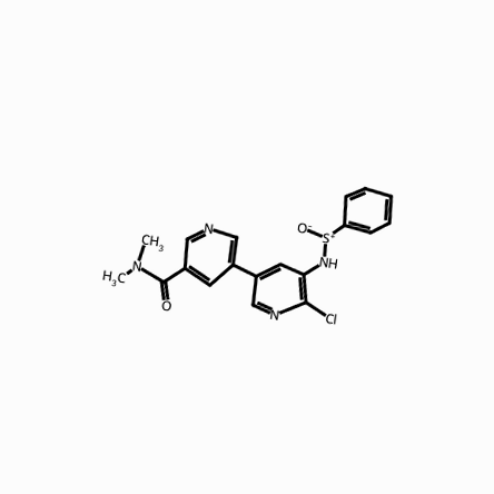 CN(C)C(=O)c1cncc(-c2cnc(Cl)c(N[S+]([O-])c3ccccc3)c2)c1